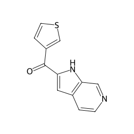 O=C(c1ccsc1)c1cc2ccncc2[nH]1